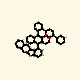 c1ccc(-c2ccc(-c3ccccc3-c3c4ccccc4c(-c4cccc5oc6cc7ccccc7cc6c45)c4ccccc34)cc2)cc1